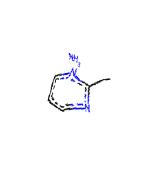 Cc1ncccn1.N